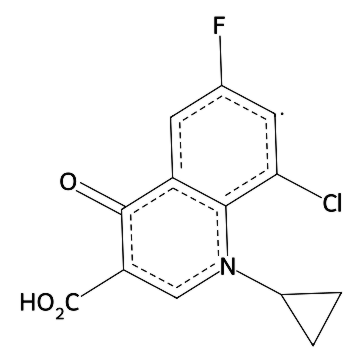 O=C(O)c1cn(C2CC2)c2c(Cl)[c]c(F)cc2c1=O